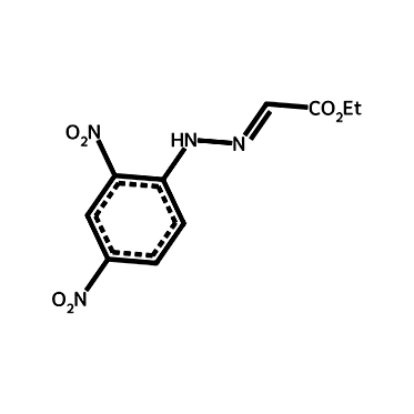 CCOC(=O)C=NNc1ccc([N+](=O)[O-])cc1[N+](=O)[O-]